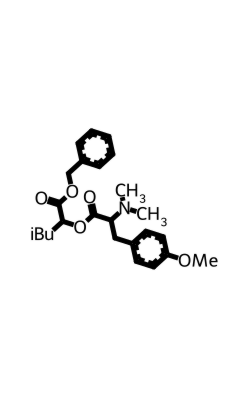 CCC(C)C(OC(=O)C(Cc1ccc(OC)cc1)N(C)C)C(=O)OCc1ccccc1